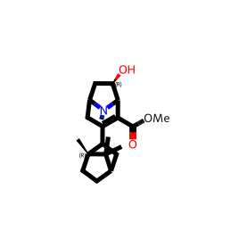 COC(=O)C1=C(C2CC3CC[C@@]2(C)C3(C)C)CC2C[C@@H](O)C1N2C